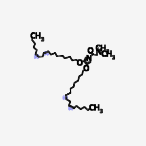 CCCCC/C=C\C/C=C\CCCCCCCCOc1cn(C(=O)CN(C)C)cc1OCCCCCCCC/C=C\C/C=C\CCCCC